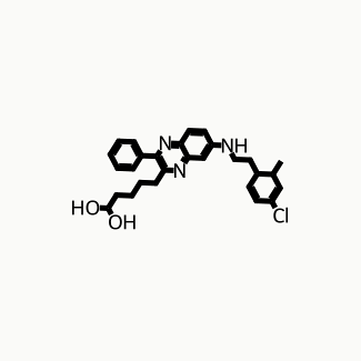 CC1C=C(Cl)C=CC1CCNc1ccc2nc(-c3ccccc3)c(CCCCC(O)O)nc2c1